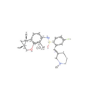 CCN1CCC/C(=C\c2cc(F)ccc2[S+]([O-])Nc2ccc3c(c2C(=O)O)OC[C@@H]2C[C@H]32)C1